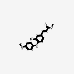 COC(=O)C=Cc1ccc(Sc2ccc(OC)cc2)c(Br)c1